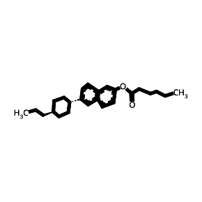 CCCCCC(=O)Oc1ccc2cc([C@H]3CC[C@H](CCC)CC3)ccc2c1